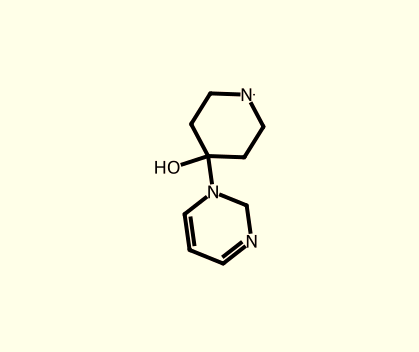 OC1(N2C=CC=NC2)CC[N]CC1